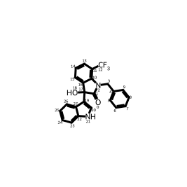 O=C1N(Cc2ccccc2)c2c(C(F)(F)F)cccc2C1(O)c1c[nH]c2ccccc12